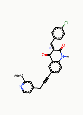 COc1cc(CC#Cc2ccc3c(c2)C(=O)/C(=C/c2ccc(Cl)cc2)C(=O)N3C)ccn1